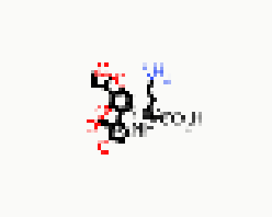 CC(=O)NC(CCCCN)C(=O)O.COc1cc2c(c3oc(=O)c4c(c13)CCC4=O)C1C=COC1O2